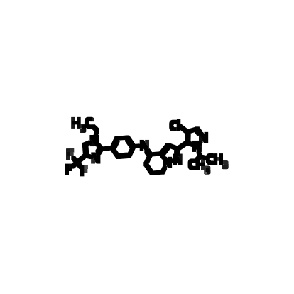 CCn1cc(C(F)(F)F)nc1-c1ccc(/N=C2\CCCn3nc(-c4c(Cl)cnn4C(C)C)cc32)cc1